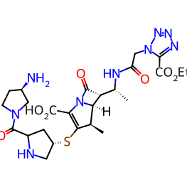 CCOC(=O)c1nnnn1CC(=O)N[C@H](C)[C@H]1C(=O)N2C(C(=O)O)=C(S[C@@H]3CNC(C(=O)N4CC[C@@H](N)C4)C3)[C@H](C)[C@H]12